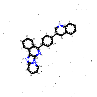 c1ccc2ncc(-c3ccc(-c4nc5c(nc6ccccn65)c5ccccc45)cc3)cc2c1